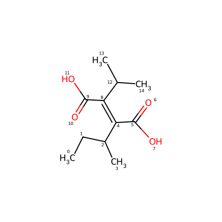 CCC(C)/C(C(=O)O)=C(\C(=O)O)C(C)C